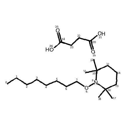 CCCCCCCCON1C(C)(C)CCCC1(C)C.O=C(O)CCC(=O)O